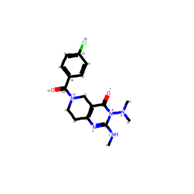 CNc1nc2c(c(=O)n1N(C)C)CN(C(=O)c1ccc(Cl)cc1)CC2